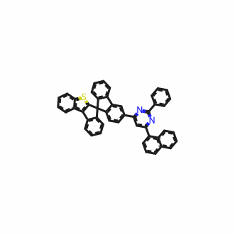 c1ccc(-c2nc(-c3ccc4c(c3)-c3ccccc3C43c4ccccc4-c4c3sc3ccccc43)cc(-c3cccc4ccccc34)n2)cc1